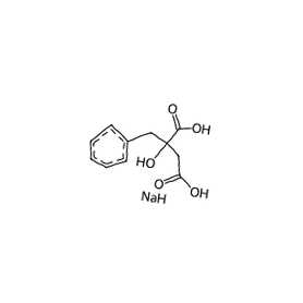 O=C(O)CC(O)(Cc1ccccc1)C(=O)O.[NaH]